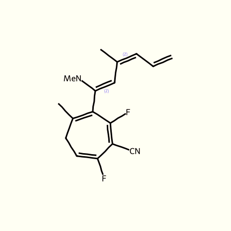 C=C/C=C(C)\C=C(/NC)C1=C(C)CC=C(F)C(C#N)=C1F